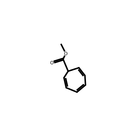 COC(=O)C1C=CC=CC=C1